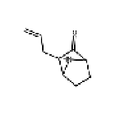 C=CCC1C(=O)C2CCC1N2